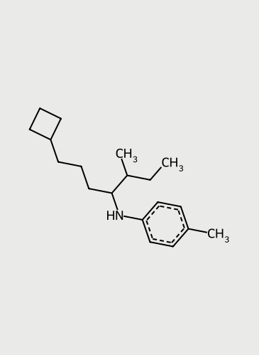 CCC(C)C(CCCC1CCC1)Nc1ccc(C)cc1